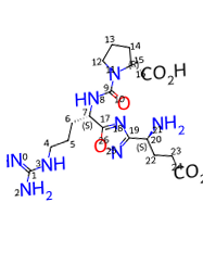 N=C(N)NCCC[C@H](NC(=O)N1CCC[C@@H]1C(=O)O)c1nc([C@@H](N)CCC(=O)O)no1